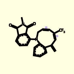 C=C1/C=C(C(F)(F)F)\C=C/CN(c2cccc3c2C(=O)N(C)C3=O)c2ccccc21